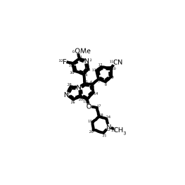 COc1ncc(-c2c(-c3ccc(C#N)cc3)cc(OCC3CCCN(C)C3)c3cncn23)cc1F